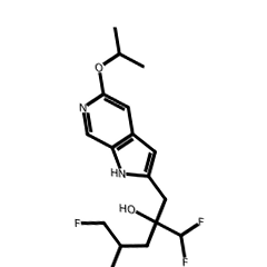 CC(CF)CC(O)(Cc1cc2cc(OC(C)C)ncc2[nH]1)C(F)F